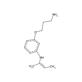 C/C=C(/C)Nc1cccc(OCCCN)c1